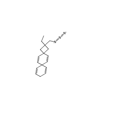 CCC1(CN=[N+]=[N-])CC2(C=CC3(C=CCC=C3)C=C2)C1